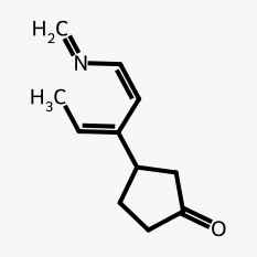 C=N/C=C\C(=C/C)C1CCC(=O)C1